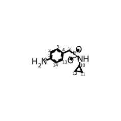 Nc1ccc(CS(=O)(=O)NC2CC2)cc1